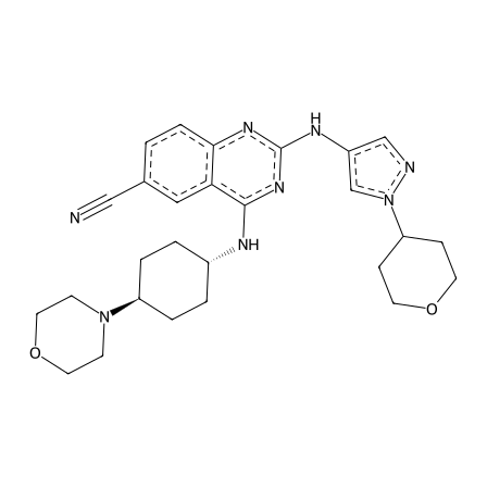 N#Cc1ccc2nc(Nc3cnn(C4CCOCC4)c3)nc(N[C@H]3CC[C@H](N4CCOCC4)CC3)c2c1